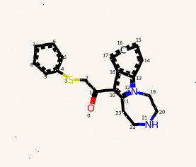 O=C(CSc1ccccc1)c1c2n(c3ccccc13)CCNCC2